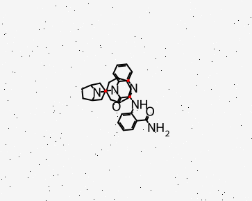 NC(=O)c1ccccc1Nc1nc2ccccc2n(C2CC3CCC(C2)N3C2CCCCCCC2)c1=O